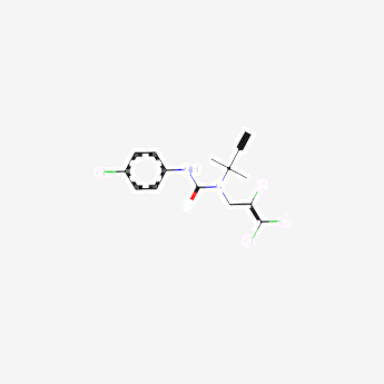 C#CC(C)(C)N(CC(Cl)=C(Cl)Cl)C(=O)Nc1ccc(Cl)cc1